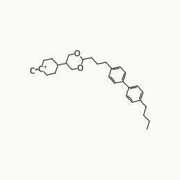 [CH2-][C+]1CCC(C2COC(CCCc3ccc(-c4ccc(CCCC)cc4)cc3)OC2)CC1